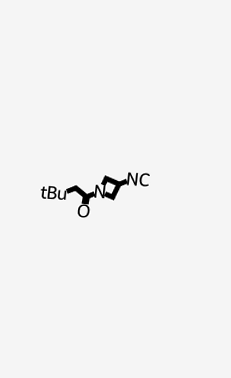 [C-]#[N+]C1CN(C(=O)CC(C)(C)C)C1